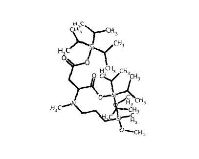 CO[Si](C)(CCCN(C)C(CC(=O)O[Si](C(C)C)(C(C)C)C(C)C)C(=O)O[Si](C(C)C)(C(C)C)C(C)C)OC